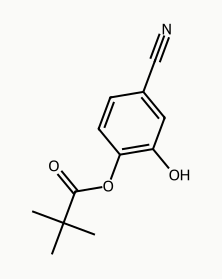 CC(C)(C)C(=O)Oc1ccc(C#N)cc1O